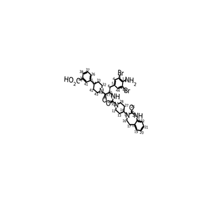 Nc1c(Br)cc(C[C@@H](NC(=O)N2CCC(N3CCc4ccccc4NC3=O)CC2)C(=O)N2CCC(c3cccc(C(=O)O)c3)CC2)cc1Br